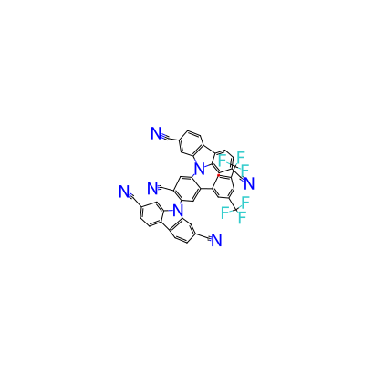 N#Cc1ccc2c3ccc(C#N)cc3n(-c3cc(-c4cc(C(F)(F)F)cc(C(F)(F)F)c4)c(-n4c5cc(C#N)ccc5c5ccc(C#N)cc54)cc3C#N)c2c1